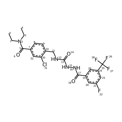 CCN(CC)C(=O)c1ccc(CNC(=O)NNC(=O)c2cc(F)cc(C(F)(F)F)c2)c(Cl)c1